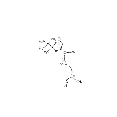 CC[C@H](O[Si](C)(C)C(C)(C)C)[C@@H](C)[C@H]1OC1C[C@H](C)C=O